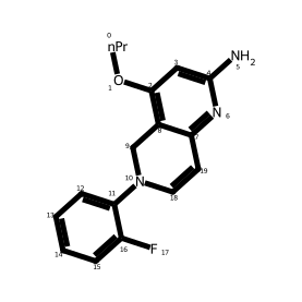 CCCOc1cc(N)nc2c1CN(c1ccccc1F)C=C2